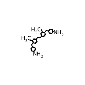 CCc1cc(CCc2ccc(Cc3ccc(N)cc3)c(CC)c2)ccc1Cc1ccc(N)cc1